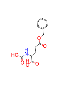 O=C(O)NC(CCC(=O)OCc1ccccc1)C(=O)O